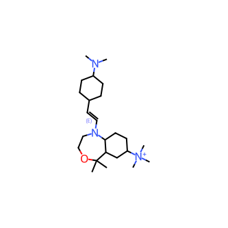 CN(C)C1CCC(/C=C/N2CCOC(C)(C)C3CC([N+](C)(C)C)CCC32)CC1